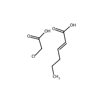 CCCC=CC(=O)O.O=C(O)CCl